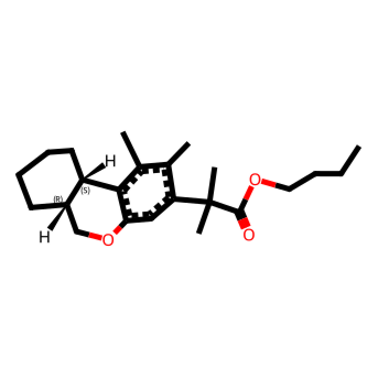 CCCCOC(=O)C(C)(C)c1cc2c(c(C)c1C)[C@H]1CCCC[C@H]1CO2